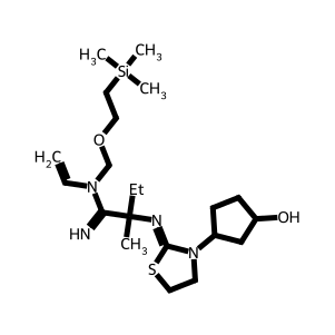 C=CN(COCC[Si](C)(C)C)C(=N)C(C)(CC)/N=C1\SCCN1C1CCC(O)C1